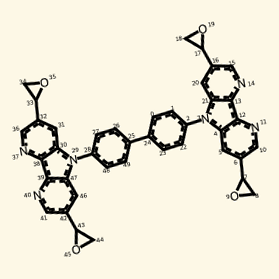 c1cc(-n2c3cc(C4CO4)cnc3c3ncc(C4CO4)cc32)ccc1-c1ccc(-n2c3cc(C4CO4)cnc3c3ncc(C4CO4)cc32)cc1